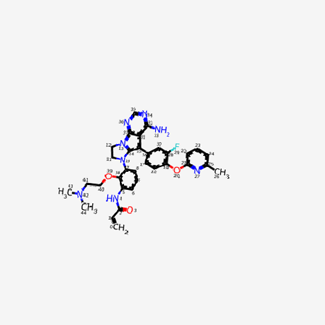 C=CC(=O)Nc1cccc(N2CCn3c2c(-c2ccc(Oc4cccc(C)n4)c(F)c2)c2c(N)ncnc23)c1OCCN(C)C